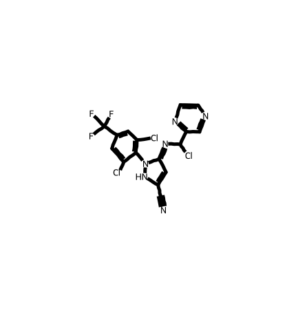 N#Cc1cc(=NC(Cl)c2cnccn2)n(-c2c(Cl)cc(C(F)(F)F)cc2Cl)[nH]1